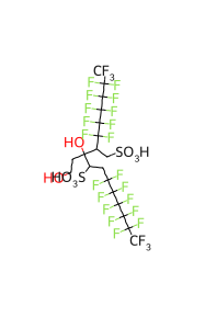 O=S(=O)(O)CC(C(O)(CCO)C(CC(F)(F)C(F)(F)C(F)(F)C(F)(F)C(F)(F)C(F)(F)F)S(=O)(=O)O)C(F)(F)C(F)(F)C(F)(F)C(F)(F)C(F)(F)C(F)(F)F